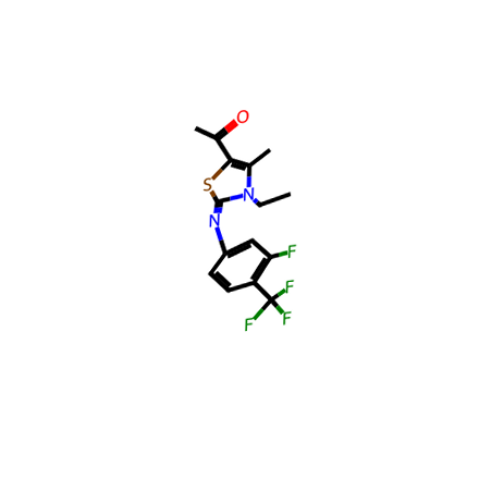 CCn1c(C)c(C(C)=O)sc1=Nc1ccc(C(F)(F)F)c(F)c1